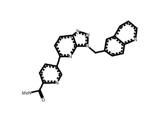 CNC(=O)c1ccc(-c2ccc3nnn(Cc4ccc5ncccc5c4)c3n2)cn1